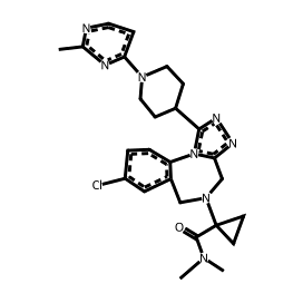 Cc1nccc(N2CCC(c3nnc4n3-c3ccc(Cl)cc3CN(C3(C(=O)N(C)C)CC3)C4)CC2)n1